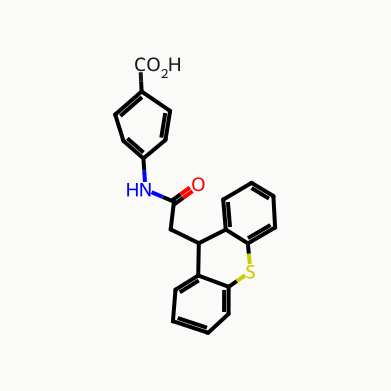 O=C(CC1c2ccccc2Sc2ccccc21)Nc1ccc(C(=O)O)cc1